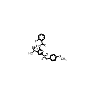 COc1ccc(CS(=O)(=O)c2cc(C(N)O)c(NC(=O)c3ccccc3F)s2)cc1